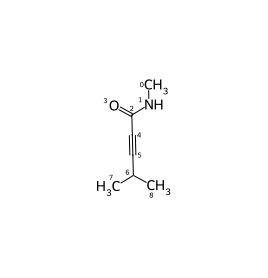 CNC(=O)C#CC(C)C